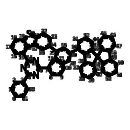 c1ccc(-c2nc(-c3ccccc3)nc(-c3cccc4sc5ccc(-c6cccc(-c7cccc8c7-c7ccccc7C87c8ccccc8-c8ccccc87)c6)cc5c34)n2)cc1